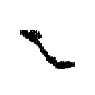 CC(C)(C)[C@H](NC(=O)COCCOCCOCCOCCOc1ccc(COc2ccc3oc(N4CCNCC4)nc3c2)nc1)C(=O)N1CC[C@@H](O)C1